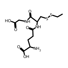 CCSSCC(NC(=O)CCC(N)C(=O)O)C(=O)NCC(=O)O